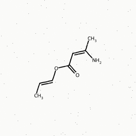 CC=COC(=O)C=C(C)N